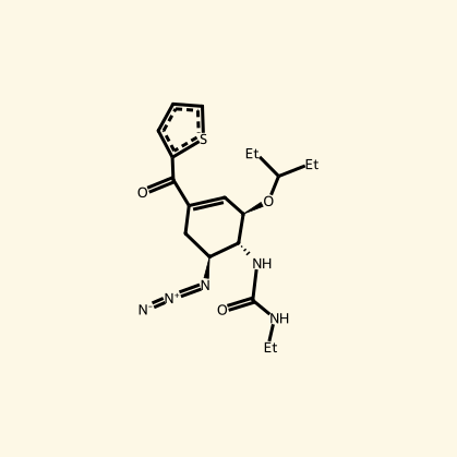 CCNC(=O)N[C@@H]1[C@@H](N=[N+]=[N-])CC(C(=O)c2cccs2)=C[C@H]1OC(CC)CC